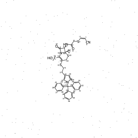 N#C/C=C\SCC(=O)N[C@@H]1C(=O)N2C(C(=O)O)=C(SCCc3cnn(C(c4ccccc4)(c4ccccc4)c4ccccc4)c3)CS[C@@H]12